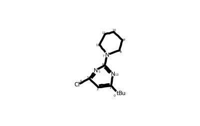 CC(C)(C)c1cc(Cl)nc(N2CCCCC2)n1